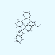 CCc1nn(C2CCCCC2)c2cc(C(O)(Cc3ccncc3)c3ccncc3)ccc12